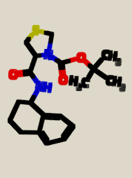 CC(C)(C)OC(=O)N1CSCC1C(=O)NC1CCCc2ccccc21